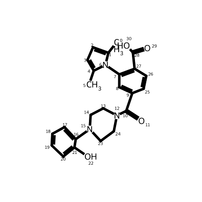 Cc1ccc(C)n1-c1cc(C(=O)N2CCN(c3ccccc3O)CC2)ccc1C(=O)O